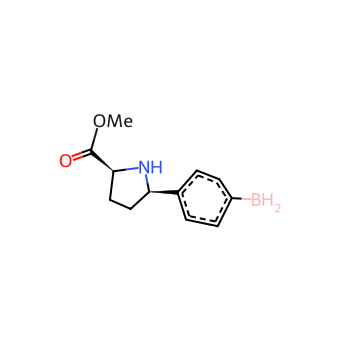 Bc1ccc([C@H]2CC[C@@H](C(=O)OC)N2)cc1